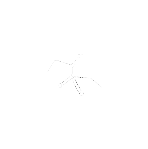 CC[S+]([O-])S(=O)(=O)CC